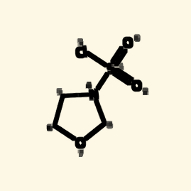 O=S(=O)(Cl)N1CCOC1